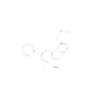 C[C@H](N)Cn1ccc2c1-c1cc(-c3ccccc3)ccc1C2.O=C(O)/C=C/C(=O)O